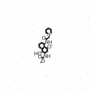 COC(=O)Nc1ccc2c(NC(=O)C[n+]3ccccc3)cccc2c1O.[Cl-]